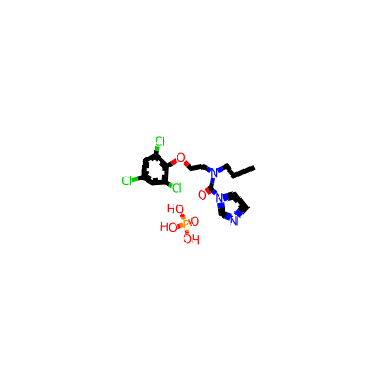 CCCN(CCOc1c(Cl)cc(Cl)cc1Cl)C(=O)n1ccnc1.O=P(O)(O)O